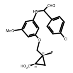 COc1cc(NC(C=O)c2ccc(Cl)cc2)cc(OC[C@]2(F)C[C@H]2C(=O)O)c1